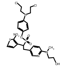 CN(CCO)c1ccc(CC(c2ccsc2[N+](=O)[O-])S(=O)(=O)Oc2ccc(N(CCCl)CCCl)cc2)cn1